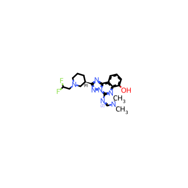 CN(C)/C=N\c1nc2c(O)cccc2c2nc([C@@H]3CCCN(CC(F)F)C3)nn12